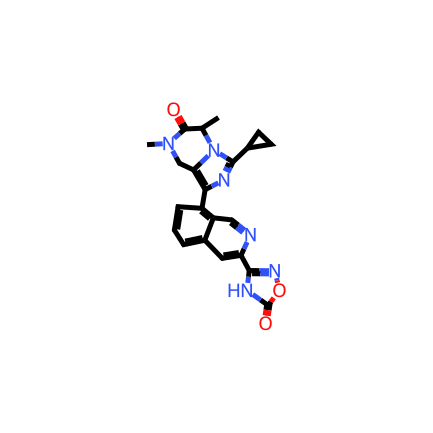 CC1C(=O)N(C)Cc2c(-c3cccc4cc(-c5noc(=O)[nH]5)ncc34)nc(C3CC3)n21